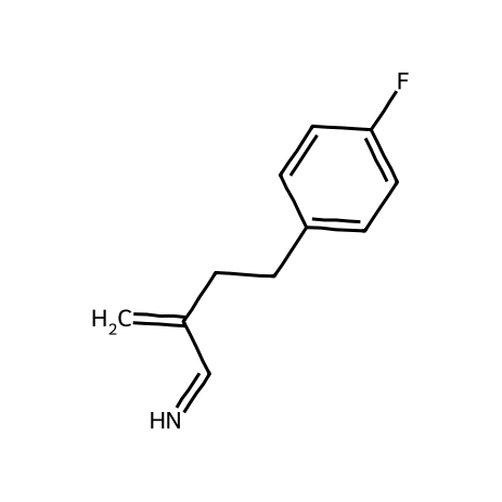 C=C(C=N)CCc1ccc(F)cc1